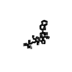 CC(C)C(NC(=O)c1ccc2ccccc2n1)C(=O)N1CCCC1C(=O)NC(CCCNC(=N)N)C(=O)CF